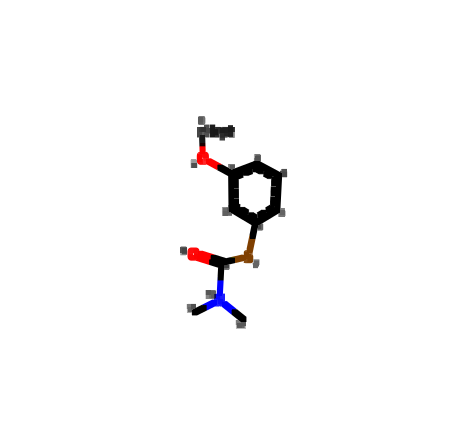 CCCCCCCOc1cccc(SC(=O)N(C)C)c1